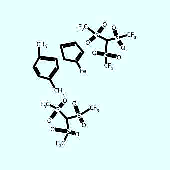 Cc1ccc(C)cc1.O=S(=O)(C(S(=O)(=O)C(F)(F)F)S(=O)(=O)C(F)(F)F)C(F)(F)F.O=S(=O)(C(S(=O)(=O)C(F)(F)F)S(=O)(=O)C(F)(F)F)C(F)(F)F.[Fe][C]1=CC=CC1